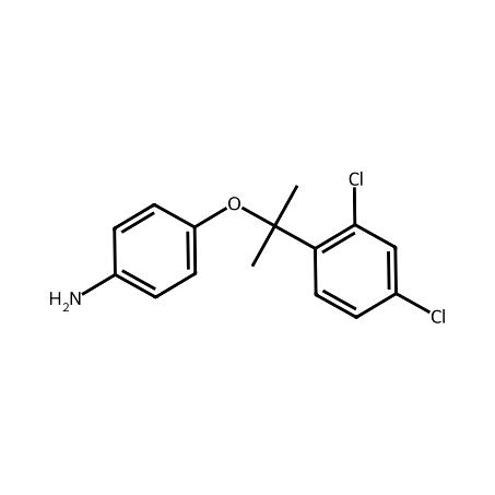 CC(C)(Oc1ccc(N)cc1)c1ccc(Cl)cc1Cl